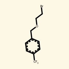 FC(F)(F)c1ccc(COCCBr)cc1